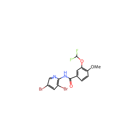 COc1ccc(C(=O)Nc2ncc(Br)cc2Br)cc1OC(F)F